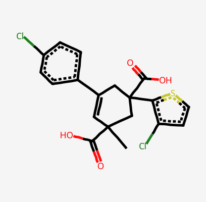 CC1(C(=O)O)C=C(c2ccc(Cl)cc2)CC(C(=O)O)(c2sccc2Cl)C1